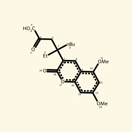 CCCCC(CC)(CC(=O)C(=O)O)c1cc2c(OC)cc(OC)cc2oc1=O